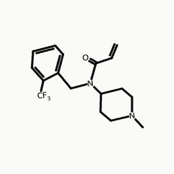 C=CC(=O)N(Cc1ccccc1C(F)(F)F)C1CCN(C)CC1